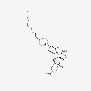 CCCCCCCCc1ccc(C2C=CC(C(=O)O)(C(=O)OC(CCC(C)C)C(F)(F)F)C(F)=C2)cc1